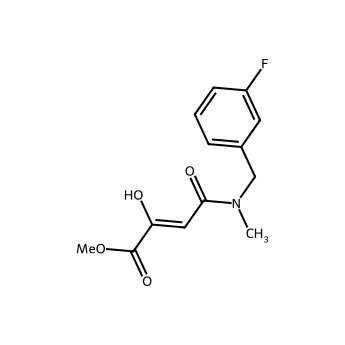 COC(=O)/C(O)=C/C(=O)N(C)Cc1cccc(F)c1